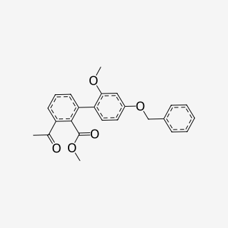 COC(=O)c1c(C(C)=O)cccc1-c1ccc(OCc2ccccc2)cc1OC